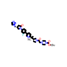 CC(C)(C)OC(=O)N1CCN(CC(=O)N2CC[C@@H]([C@@](C)(C#N)c3ccc(-c4ccc(N5C[C@H](Cn6ccnn6)CC5=O)cc4F)cn3)C2)CC1